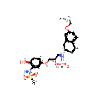 CCOC(=O)COc1ccc2c(c1)C[C@@H](NC[C@H](O)COc1ccc(O)c(NS(C)(=O)=O)c1)CC2.O